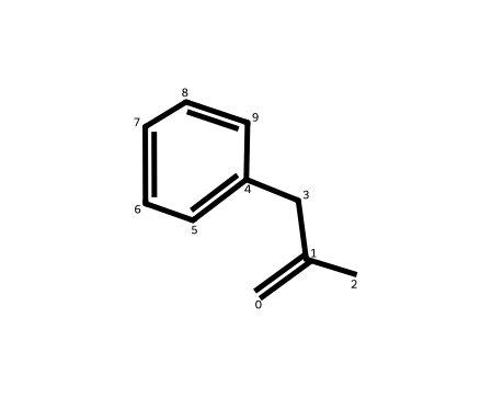 C=C(C)Cc1ccccc1